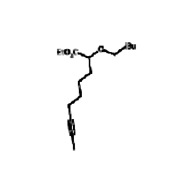 CC#CCCCCC(OCC(C)CC)C(=O)OCC